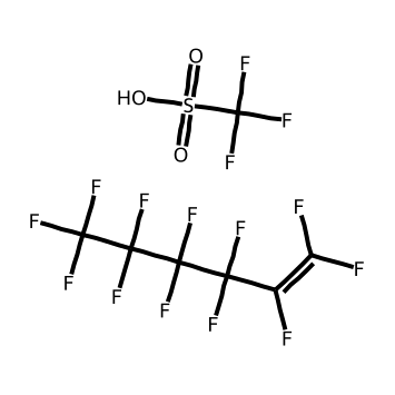 FC(F)=C(F)C(F)(F)C(F)(F)C(F)(F)C(F)(F)F.O=S(=O)(O)C(F)(F)F